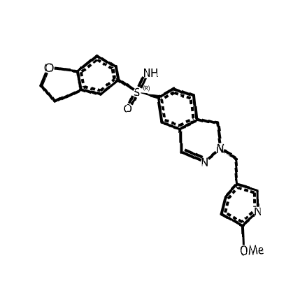 COc1ccc(CN2Cc3ccc([S@@](=N)(=O)c4ccc5c(c4)CCO5)cc3C=N2)cn1